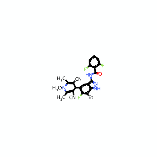 CCc1c(F)c(C2C(C#N)=C(C)N(C)C(C)=C2C#N)cc2c(NC(=O)c3c(F)cccc3F)n[nH]c12